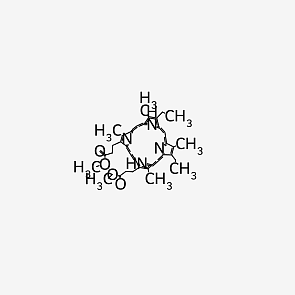 CCC1=C(C)c2cc3[nH]c(cc4nc(cc5[nH]c(cc1n2)c(C)c5CCC(=O)OC)C(CCC(=O)OC)=C4C)c(C)c3CC